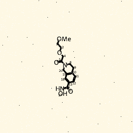 COCCOCC(=O)N1CCc2ccc(C(=O)NO)cc2C1